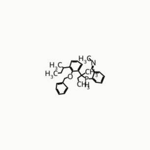 CCC(C)c1cccc(C(C)(CC)Pc2ccccc2/C=N/C)c1OCc1ccccc1